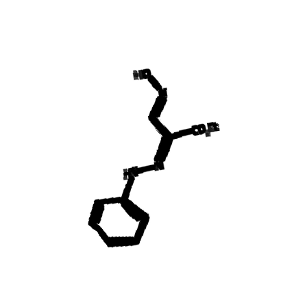 CCOC(=O)C(C=NO)=NNc1ccccc1